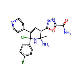 CC1(N)NC(Cl)(c2ccc(F)cc2)C(c2ccncc2)=CC1c1nnc(C(N)=O)o1